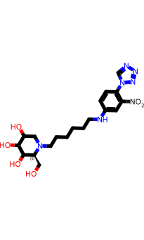 O=[N+]([O-])c1cc(NCCCCCCN2CC(O)C(O)C(O)[C@@H]2CO)ccc1-n1cnnn1